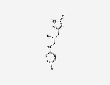 O=c1[nH]nc(CC(O)CNc2ccc(Br)cc2)o1